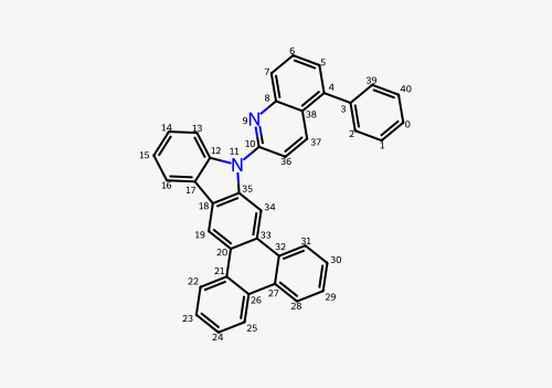 c1ccc(-c2cccc3nc(-n4c5ccccc5c5cc6c7ccccc7c7ccccc7c6cc54)ccc23)cc1